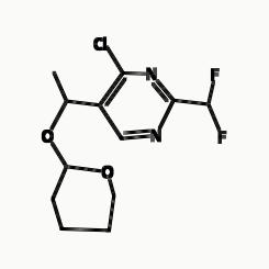 CC(OC1CCCCO1)c1cnc(C(F)F)nc1Cl